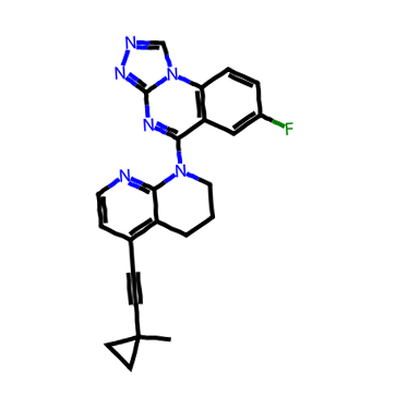 CC1(C#Cc2ccnc3c2CCCN3c2nc3nncn3c3ccc(F)cc23)CC1